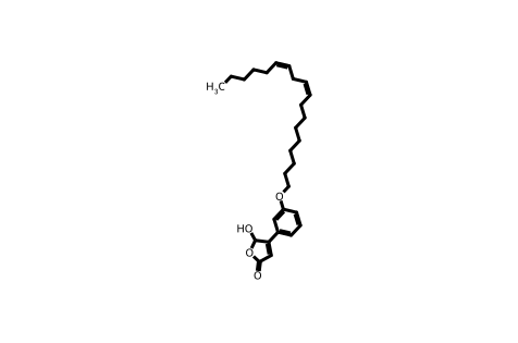 CCCCC/C=C\C/C=C\CCCCCCCCOc1cccc(C2=CC(=O)OC2O)c1